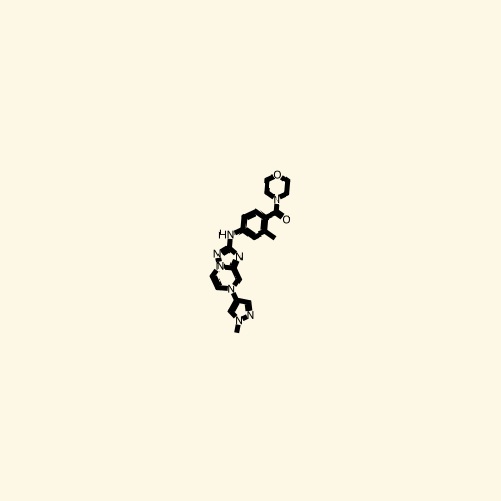 Cc1cc(Nc2nc3n(n2)C=CN(c2cnn(C)c2)C3)ccc1C(=O)N1CCOCC1